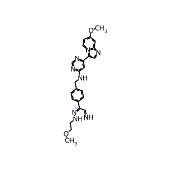 COCCN/N=C(\C=N)c1ccc(CNc2cc(-c3cnc4cc(OC)ccn34)ncn2)cc1